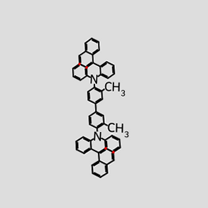 Cc1cc(-c2ccc(N(c3ccccc3)c3ccccc3-c3cccc4ccccc34)c(C)c2)ccc1N(c1ccccc1)c1ccccc1-c1cccc2ccccc12